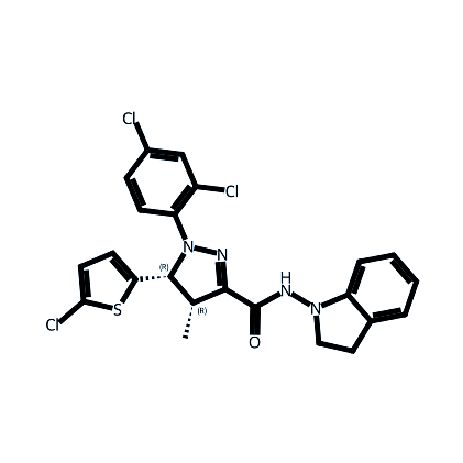 C[C@H]1C(C(=O)NN2CCc3ccccc32)=NN(c2ccc(Cl)cc2Cl)[C@H]1c1ccc(Cl)s1